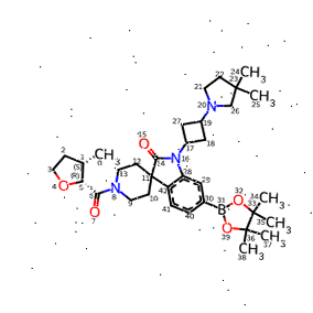 C[C@H]1CCO[C@H]1C(=O)N1CCC2(CC1)C(=O)N(C1CC(N3CCC(C)(C)C3)C1)c1cc(B3OC(C)(C)C(C)(C)O3)ccc12